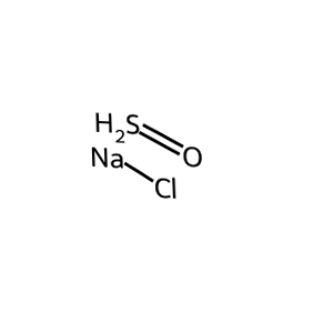 O=[SH2].[Na][Cl]